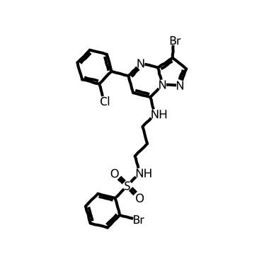 O=S(=O)(NCCCNc1cc(-c2ccccc2Cl)nc2c(Br)cnn12)c1ccccc1Br